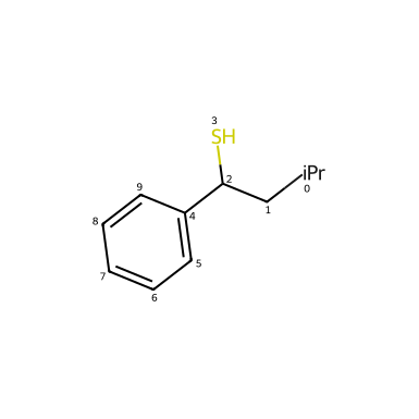 CC(C)CC(S)c1ccccc1